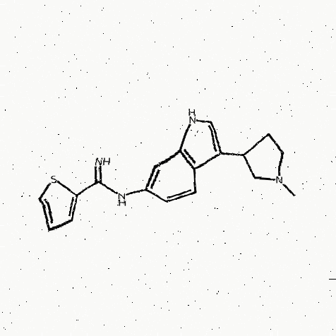 CN1CCC(c2c[nH]c3cc(NC(=N)c4cccs4)ccc23)C1